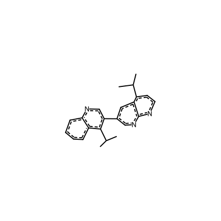 CC(C)c1c(-c2cnc3nccc(C(C)C)c3c2)cnc2ccccc12